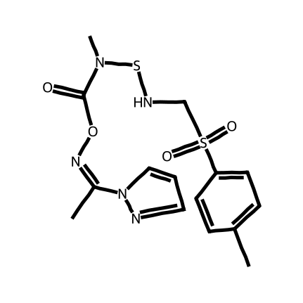 CC(=NOC(=O)N(C)SNCS(=O)(=O)c1ccc(C)cc1)n1cccn1